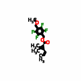 C/C=C\[C@@H]1[C@@H](C(=O)OCc2c(F)c(F)c(COC)c(F)c2F)C1(C)C